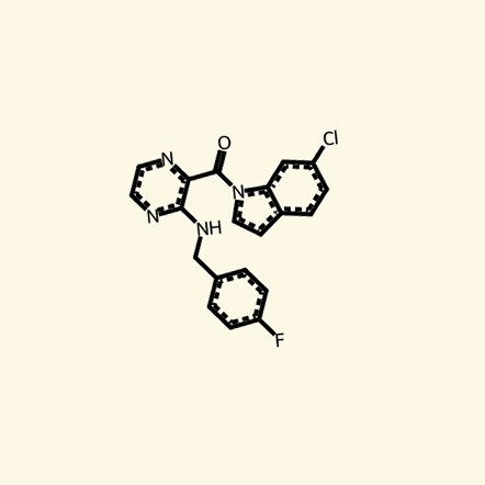 O=C(c1nccnc1NCc1ccc(F)cc1)n1ccc2ccc(Cl)cc21